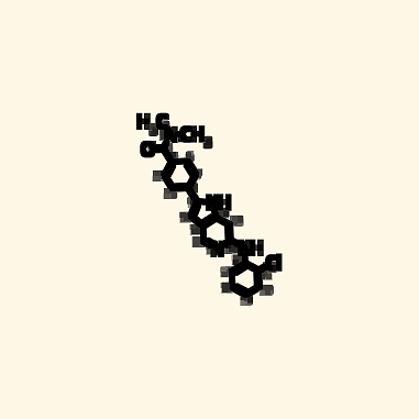 CN(C)C(=O)c1ccc(-c2cc3cnc(Nc4ccccc4Cl)cc3[nH]2)cc1